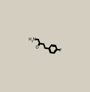 NCC(=O)CCc1ccc(F)cc1